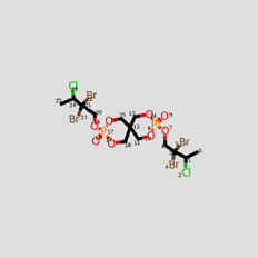 CC(Cl)C(Br)(Br)COP1(=O)OCC2(CO1)COP(=O)(OCC(Br)(Br)C(C)Cl)OC2